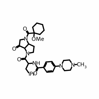 COC1(C(=O)N2CC(=O)C3C2CCN3C(=O)C(CC(C)C)NC(=O)c2ccc(N3CCN(C)CC3)cc2)CCCCC1